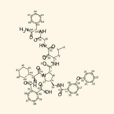 CCCC(NC(=O)C1C[C@@H](CNC(=O)c2cccc(Oc3ccccc3)c2)CN1C(=O)[C@@H](NC(=O)c1ccccc1C(=O)O)C1CCCCC1)C(=O)C(=O)NCC(=O)N[C@H](C(N)=O)c1ccccc1